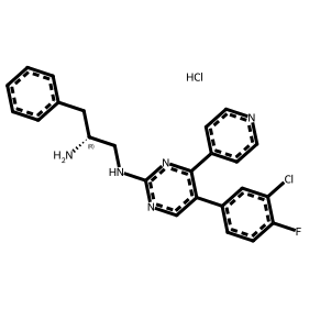 Cl.N[C@@H](CNc1ncc(-c2ccc(F)c(Cl)c2)c(-c2ccncc2)n1)Cc1ccccc1